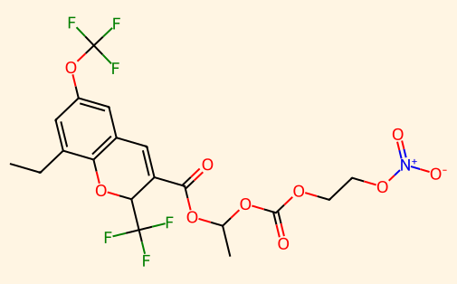 CCc1cc(OC(F)(F)F)cc2c1OC(C(F)(F)F)C(C(=O)OC(C)OC(=O)OCCO[N+](=O)[O-])=C2